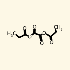 CCC(=O)OC(=O)C(=O)OC(=O)CC